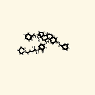 C[C@]12C[C@H](Oc3ccc(NC(=O)CCCN4CCCCC4)c(F)c3)[C@@H]3c4ccc(OCc5ccccc5)cc4CC[C@H]3[C@@H]1CC[C@@H]2OCc1ccccc1